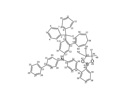 CC(c1ccccc1)(c1ccccc1)c1ccc(N(c2ccc(-c3ccccc3)cc2)c2ccc(-c3ccccc3B3OC(C)(C)C(C)(C)O3)cc2)cc1C1=CC=CCC=C1